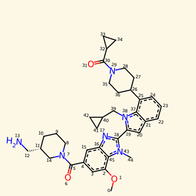 COc1cc(C(=O)N2CCC[C@@H](CN)C2)cc2nc(-c3cc4cccc(C5CCN(C(=O)C6CC6)CC5)c4n3CC3CC3)n(C)c12